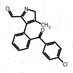 CC1=C(c2ccccc2C(=O)c2ccc(Cl)cc2)C(C=O)=NC1